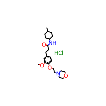 COc1cc(CCC(=O)NC2CCC(C)CC2)ccc1OCCN1CCOCC1.Cl